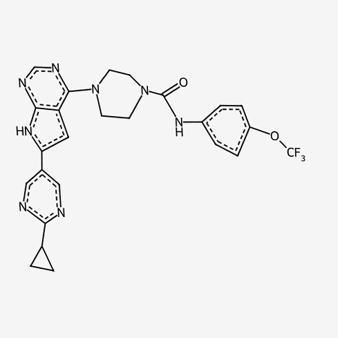 O=C(Nc1ccc(OC(F)(F)F)cc1)N1CCN(c2ncnc3[nH]c(-c4cnc(C5CC5)nc4)cc23)CC1